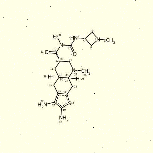 CCN(C(=O)NC1CN(C)C1)C(=O)[C@@H]1C[C@@H]2Cc3c(sc(N)c3N)C[C@H]2N(C)C1